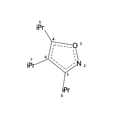 CC(C)c1noc(C(C)C)c1C(C)C